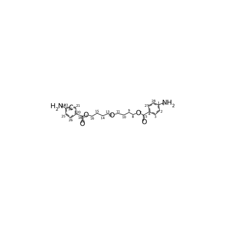 Nc1ccc(C(=O)OCCCCOCCCCOC(=O)c2ccc(N)cc2)cc1